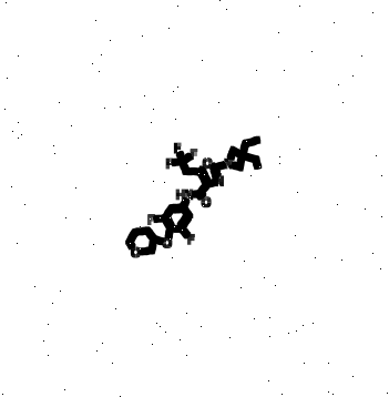 CCC1(CC)CN(c2nc(C(=O)Nc3cc(F)c(OC4CCCOC4)c(F)c3)c(CC(F)(F)F)o2)C1